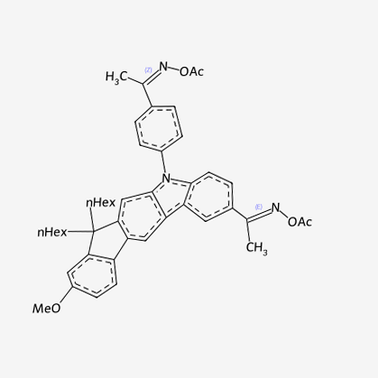 CCCCCCC1(CCCCCC)c2cc(OC)ccc2-c2cc3c4cc(/C(C)=N/OC(C)=O)ccc4n(-c4ccc(/C(C)=N\OC(C)=O)cc4)c3cc21